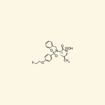 C=C(F)C[C@@H](C(=O)NO)N(Cc1ccccc1)S(=O)(=O)c1ccc(OCCF)cc1